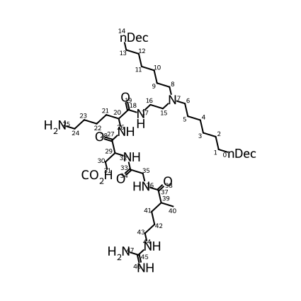 CCCCCCCCCCCCCCCCN(CCCCCCCCCCCCCCCC)CCNC(=O)C(CCCCN)NC(=O)C(CC(=O)O)NC(=O)CNC(=O)C(C)CCCNC(=N)N